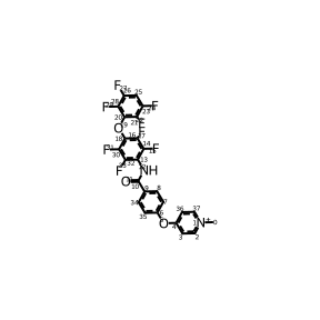 C[n+]1ccc(Oc2ccc(C(=O)Nc3c(F)c(F)c(Oc4c(F)c(F)cc(F)c4F)c(F)c3F)cc2)cc1